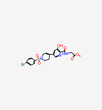 COC(=O)CNC(=O)c1ncc(C2=CCN(S(=O)(=O)c3ccc(Br)cc3)CC2)cc1O